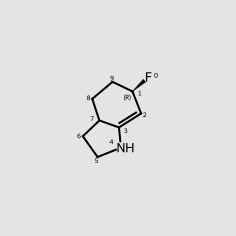 F[C@H]1C=C2NCCC2CC1